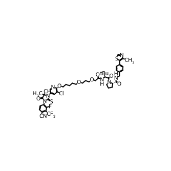 Cc1ncsc1-c1ccc(CNC(=O)[C@@H]2CCCN2C(=O)[C@@H](NC(=O)COCCCOCCCCCOc2ncc(N3C(=S)N(c4ccc(C#N)c(C(F)(F)F)c4F)C(=O)C3(C)C)cc2Cl)C(C)(C)C)cc1